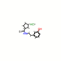 CCC(NCCc1cccc(O)c1)C1CCCC1.Cl